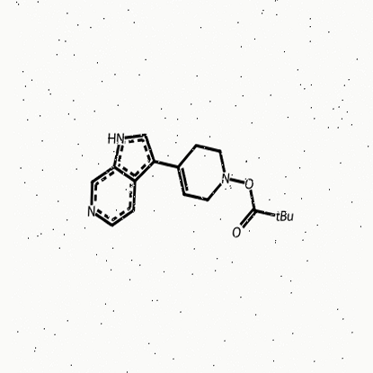 CC(C)(C)C(=O)ON1CC=C(c2c[nH]c3cnccc23)CC1